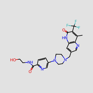 Cc1c(C(F)(F)F)c(=O)[nH]c2cc(CN3CCN(c4ccc(C(=O)NCCO)nc4)CC3)cnc12